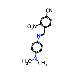 CN(C)c1ccc(N=Cc2ccc(C#N)cc2[N+](=O)[O-])cc1